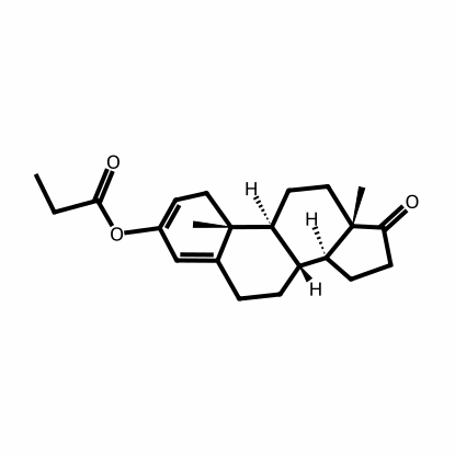 CCC(=O)OC1=CC[C@@]2(C)C(=C1)CC[C@@H]1[C@@H]2CC[C@]2(C)C(=O)CC[C@@H]12